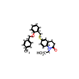 O=C(O)CN1C(=O)CCc2cc(SCc3ccccc3OCc3ccc(C(F)(F)F)cc3)ccc21